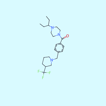 CCC(CC)N1CCN(C(=O)c2ccc(CN3CCCC(C(F)(F)F)C3)cc2)CC1